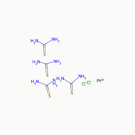 NC(N)=S.NC(N)=S.NC(N)=S.NC(N)=S.[Cl-].[Cl-].[Pt+2]